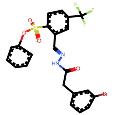 O=C(Cc1cccc(Br)c1)NN=Cc1cc(C(F)(F)F)ccc1S(=O)(=O)Oc1ccccc1